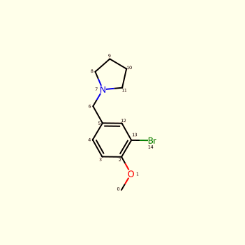 COc1ccc(CN2CCCC2)cc1Br